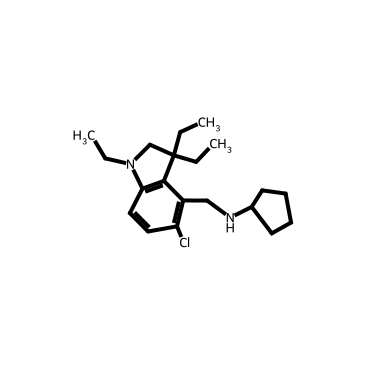 CCN1CC(CC)(CC)c2c1ccc(Cl)c2CNC1CCCC1